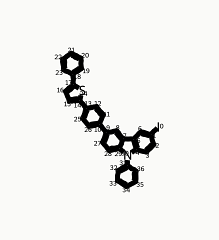 Ic1ccc2c(c1)c1cc(-c3ccc(-c4ccc(-c5ccccc5)s4)cc3)ccc1n2-c1ccccc1